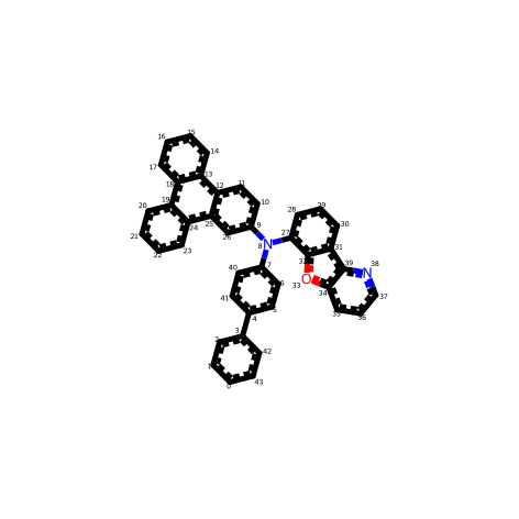 c1ccc(-c2ccc(N(c3ccc4c5ccccc5c5ccccc5c4c3)c3cccc4c3oc3cccnc34)cc2)cc1